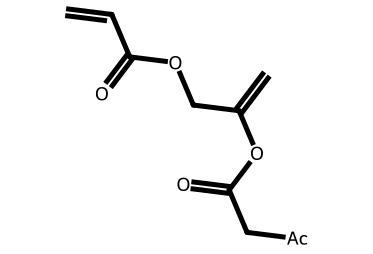 C=CC(=O)OCC(=C)OC(=O)CC(C)=O